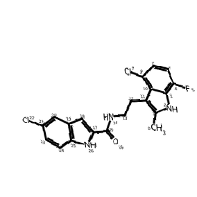 Cc1[nH]c2c(F)ccc(Cl)c2c1CCNC(=O)c1cc2cc(Cl)ccc2[nH]1